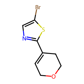 Brc1cnc(C2=CCOCC2)s1